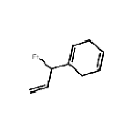 C=CC(CC)C1=CCC=CC1